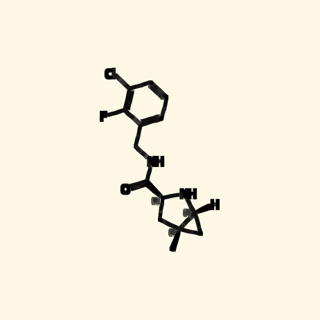 C[C@@]12C[C@@H](C(=O)NCc3cccc(Cl)c3F)N[C@@H]1C2